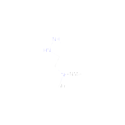 CCCN(CCNN)NC